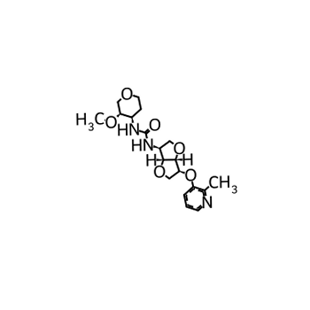 CO[C@H]1COCC[C@H]1NC(=O)N[C@H]1CO[C@H]2[C@@H]1OC[C@@H]2Oc1cccnc1C